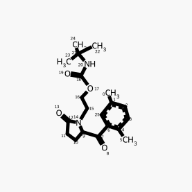 Cc1ccc(C)c(C(=O)C2CCC(=O)N2CCOC(=O)NC(C)(C)C)c1